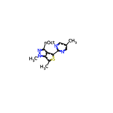 CCCCCCCCc1nn(C)c2c(C)sc(-c3ncc(C)cn3)c12